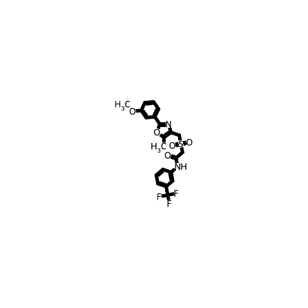 COc1cccc(-c2nc(CS(=O)(=O)CC(=O)Nc3cccc(C(F)(F)F)c3)c(C)o2)c1